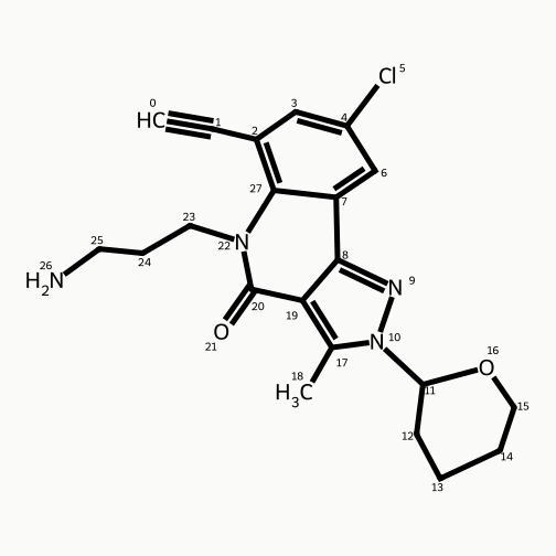 C#Cc1cc(Cl)cc2c3nn(C4CCCCO4)c(C)c3c(=O)n(CCCN)c12